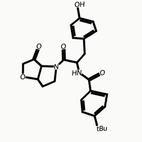 CC(C)(C)c1ccc(C(=O)NC(Cc2ccc(O)cc2)C(=O)N2CCC3OCC(=O)C32)cc1